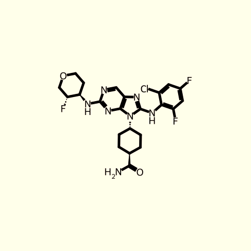 NC(=O)[C@H]1CC[C@H](n2c(Nc3c(F)cc(F)cc3Cl)nc3cnc(N[C@@H]4CCOC[C@H]4F)nc32)CC1